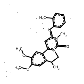 COc1cc2c(cc1OC)C(C)Cn1c-2cc(=Nc2ccccc2C)n(C)c1=O